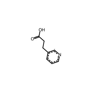 O=C(O)CCc1[c]nccc1